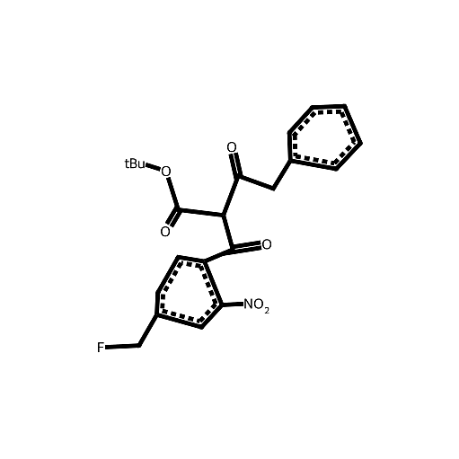 CC(C)(C)OC(=O)C(C(=O)Cc1ccccc1)C(=O)c1ccc(CF)cc1[N+](=O)[O-]